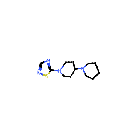 c1nsc(N2CCC(N3CCCCC3)CC2)n1